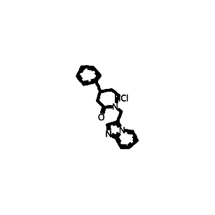 Cl.O=C1CC(c2ccccc2)CCN1Cc1cnc2ccccn12